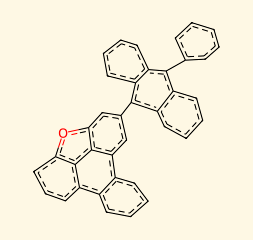 c1ccc(-c2c3ccccc3c(-c3cc4oc5cccc6c7ccccc7c(c3)c4c56)c3ccccc23)cc1